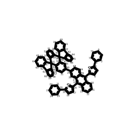 c1ccc(-c2ccc(-c3c4ccccc4c(-c4ccc(-c5ccccc5)s4)c4cc(-c5ccc6c(c5)C5(c7ccccc7-c7ccccc75)c5ccccc5C65c6ccccc6-c6ccccc65)ccc34)s2)cc1